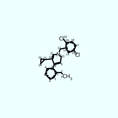 CCc1ccccc1C1=CCN(Cc2cc(Cl)ccc2Cl)C=C1C1CC1